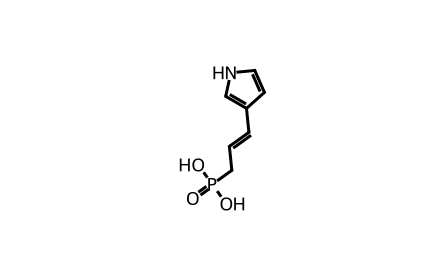 O=P(O)(O)CC=Cc1cc[nH]c1